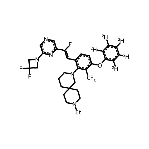 [2H]c1c([2H])c([2H])c(Oc2ccc(/C=C(\F)c3cncc(N4CC(F)(F)C4)n3)c(N3CCCC4(CCN(CC)CC4)C3)c2C(F)(F)F)c([2H])c1[2H]